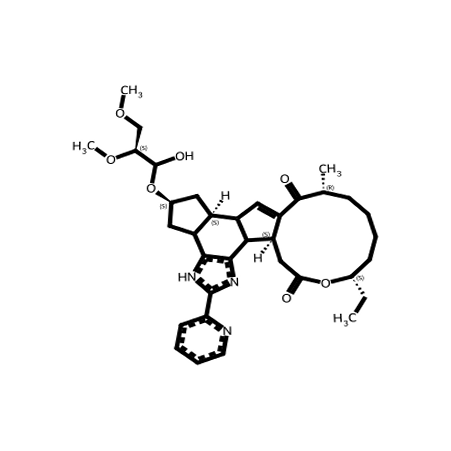 CC[C@H]1CCCC[C@@H](C)C(=O)C2=CC3C(c4nc(-c5ccccn5)[nH]c4C4C[C@@H](OC(O)[C@H](COC)OC)C[C@H]43)[C@@H]2CC(=O)O1